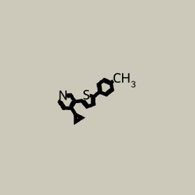 Cc1ccc(-c2ccc(-c3cnccc3C3CC3)s2)cc1